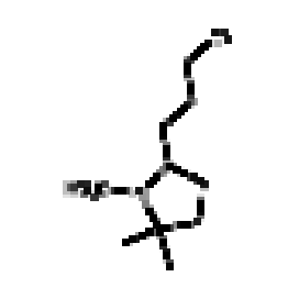 CC1(C)CCC(CCCC#N)N1C(=O)O